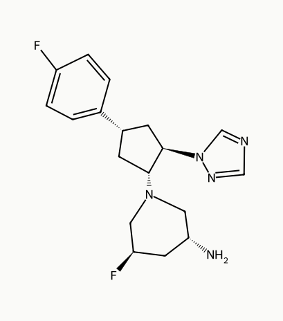 N[C@@H]1C[C@@H](F)CN([C@@H]2C[C@H](c3ccc(F)cc3)C[C@H]2n2cncn2)C1